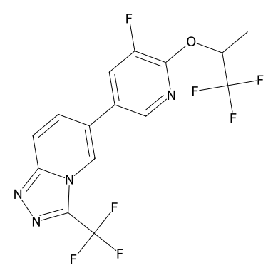 CC(Oc1ncc(-c2ccc3nnc(C(F)(F)F)n3c2)cc1F)C(F)(F)F